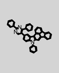 c1ccc(-c2ncc(-c3ccc4c(c3)c3c5cccc6c5c(cc3n4-c3ccccc3)-c3ccccc3-6)c(-c3ccccc3)n2)cc1